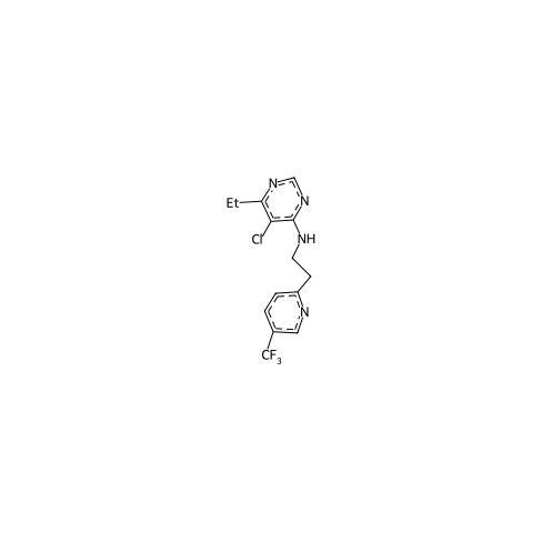 CCc1ncnc(NCCc2ccc(C(F)(F)F)cn2)c1Cl